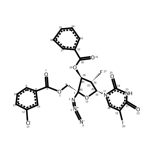 [N-]=[N+]=N[C@]1(COC(=O)c2cccc(Cl)c2)O[C@@H](n2cc(I)c(=O)[nH]c2=O)[C@@H](F)[C@@H]1OC(=O)c1ccccc1